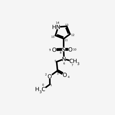 CCOC(=O)CN(C)S(=O)(=O)c1cc[nH]c1